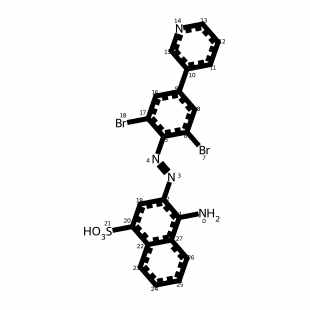 Nc1c(/N=N/c2c(Br)cc(-c3cccnc3)cc2Br)cc(S(=O)(=O)O)c2ccccc12